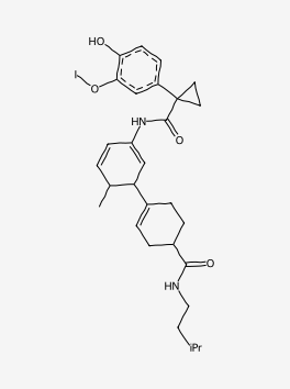 CC(C)CCNC(=O)C1CC=C(C2C=C(NC(=O)C3(c4ccc(O)c(OI)c4)CC3)C=CC2C)CC1